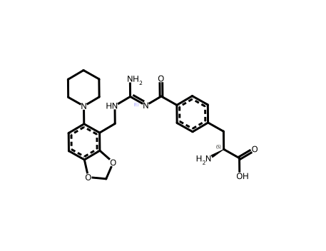 N/C(=N\C(=O)c1ccc(C[C@H](N)C(=O)O)cc1)NCc1c(N2CCCCC2)ccc2c1OCO2